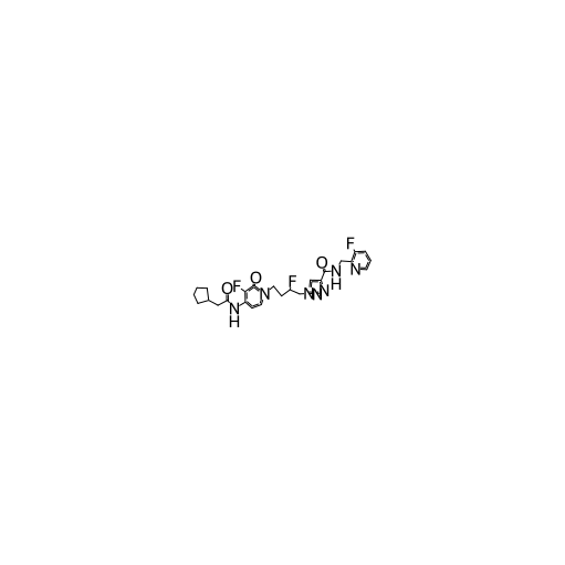 O=C(CC1CCCC1)Nc1ccn(CCC(F)Cn2cc(C(=O)NCc3ncccc3F)nn2)c(=O)c1F